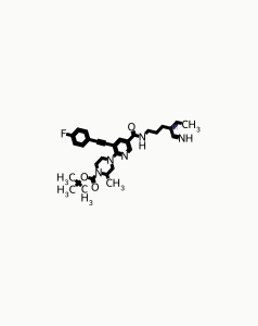 C/C=C(\C=N)CCCNC(=O)c1cnc(N2CCN(C(=O)OC(C)(C)C)C(C)C2)c(C#Cc2ccc(F)cc2)c1